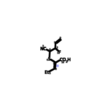 C=CC(F)C(C#N)S/C(=C\CC)C(=O)O